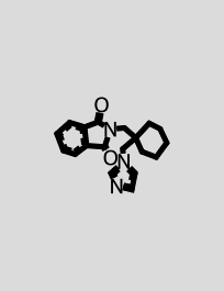 O=C1c2ccccc2C(=O)N1CC1(Cn2ccnc2)CCCCC1